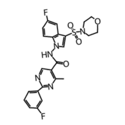 Cc1nc(-c2cccc(F)c2)ncc1C(=O)Nn1cc(S(=O)(=O)N2CCOCC2)c2cc(F)ccc21